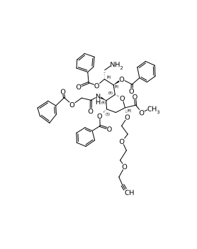 C#CCOCCOCCO[C@]1(C(=O)OC)C[C@H](OC(=O)c2ccccc2)[C@@H](NC(=O)COC(=O)c2ccccc2)[C@H]([C@H](OC(=O)c2ccccc2)[C@@H](CN)OC(=O)c2ccccc2)O1